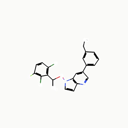 CC(On1ccc2ncc(-c3cccc(CC#N)c3)cc21)c1c(Cl)ccc(F)c1Cl